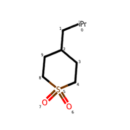 CC(C)CC1CCS(=O)(=O)CC1